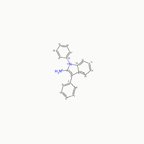 Nc1c(-c2ccccc2)c2ccccc2n1-c1ccccc1